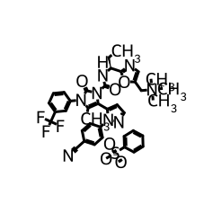 CC[C@H](NC(=O)n1c(-c2ccnn2-c2ccc(C#N)cc2)c(C)n(-c2cccc(C(F)(F)F)c2)c1=O)c1ncc(C[N+](C)(C)C)o1.O=S(=O)([O-])c1ccccc1